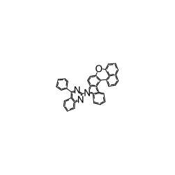 c1ccc(-c2nc(-n3c4ccccc4c4c5c(ccc43)Oc3cccc4cccc-5c34)nc3ccccc23)cc1